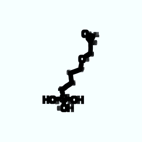 O[Si](O)(O)CCCCOCC1CO1